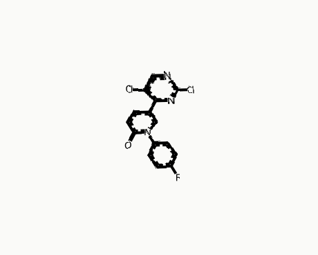 O=c1ccc(-c2nc(Cl)ncc2Cl)cn1-c1ccc(F)cc1